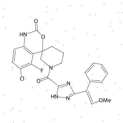 COC=C(c1ccccc1)c1n[nH]c(C(=O)N2CCCC3(C2)OC(=O)Nc2ccc(Cl)c(F)c23)n1